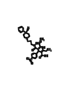 CCC1=C(C(=O)O)C(c2ccc([N+](=O)[O-])cc2)C(C(=O)N(O)CCCN2CCC(C#N)(c3ccccc3)CC2)=C(COC)N1